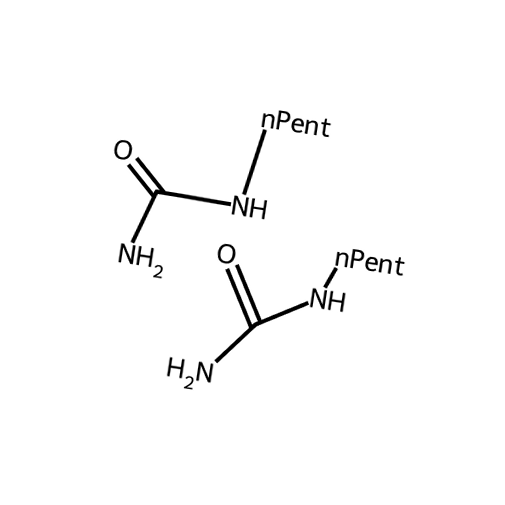 CCCCCNC(N)=O.CCCCCNC(N)=O